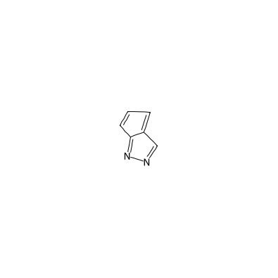 C1=CC2=NN=CC2=C1